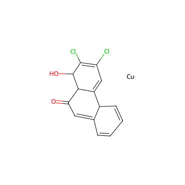 O=C1C=C2C=CC=CC2C2=CC(Cl)=C(Cl)C(O)C12.[Cu]